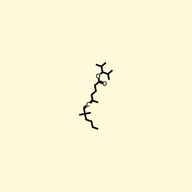 CCCCC(C)(C)C=C=C(C)CCCC(=O)OC(C(C)C)C(C)C